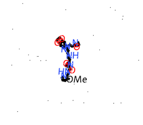 COc1cccnc1CNC(=O)c1coc(CCNCCc2nc3cc4c(cc3n2CCc2ncco2)OCCO4)n1